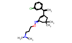 C=C(C1=C/C(=N/OCCCN(C)C)CC(C)(C)C1)c1cccc(Cl)c1